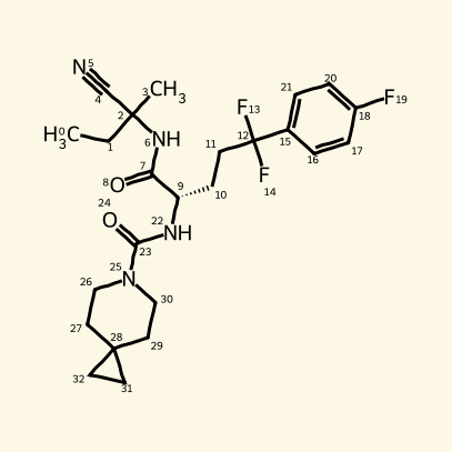 CCC(C)(C#N)NC(=O)[C@H](CCC(F)(F)c1ccc(F)cc1)NC(=O)N1CCC2(CC1)CC2